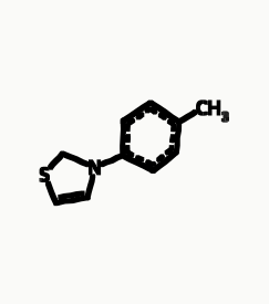 Cc1ccc(N2C=CSC2)cc1